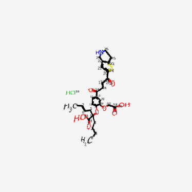 CCCCC(CCCC)(Oc1ccc(C(=O)CCC(=O)c2cc3c(s2)CCNC3)cc1OCC(=O)O)C(=O)O.Cl